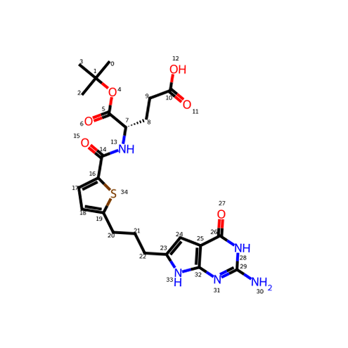 CC(C)(C)OC(=O)[C@H](CCC(=O)O)NC(=O)c1ccc(CCCc2cc3c(=O)[nH]c(N)nc3[nH]2)s1